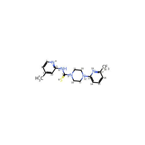 Cc1ccnc(NC(=S)N2CCN(c3cccc(C(F)(F)F)n3)CC2)c1